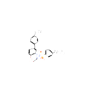 N#Cc1ccc(-c2ccc3c(c2)N(S(=O)(=O)c2ccc([N+](=O)[O-])cc2)CCO3)cc1